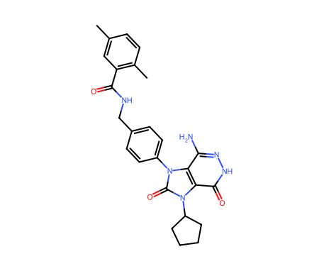 Cc1ccc(C)c(C(=O)NCc2ccc(-n3c(=O)n(C4CCCC4)c4c(=O)[nH]nc(N)c43)cc2)c1